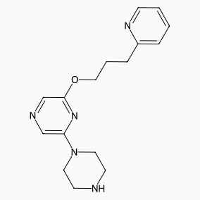 c1ccc(CCCOc2cncc(N3CCNCC3)n2)nc1